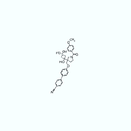 COc1ccc(C(=O)N2CCC(COc3ccc(-c4ccc(C#N)cc4)cc3)(C3(O)CS(O)(O)C3)C2)cc1